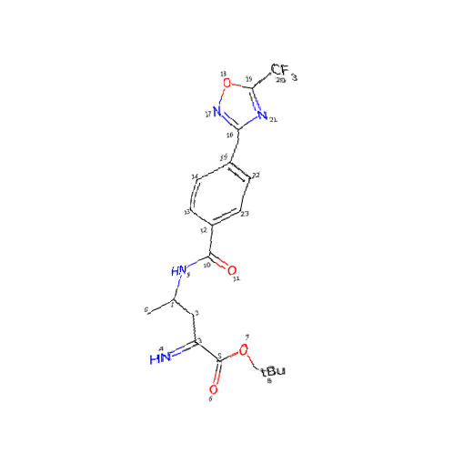 CC(CC(=N)C(=O)OC(C)(C)C)NC(=O)c1ccc(-c2noc(C(F)(F)F)n2)cc1